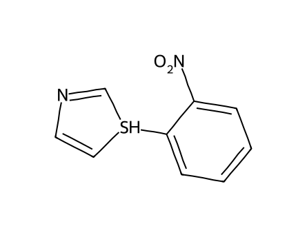 O=[N+]([O-])c1ccccc1[SH]1C=CN=C1